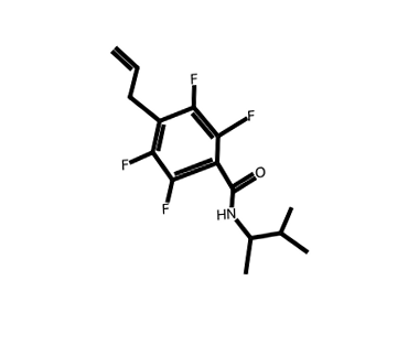 C=CCc1c(F)c(F)c(C(=O)NC(C)C(C)C)c(F)c1F